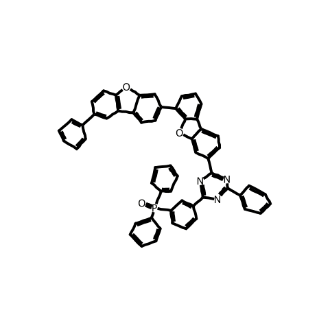 O=P(c1ccccc1)(c1ccccc1)c1cccc(-c2nc(-c3ccccc3)nc(-c3ccc4c(c3)oc3c(-c5ccc6c(c5)oc5ccc(-c7ccccc7)cc56)cccc34)n2)c1